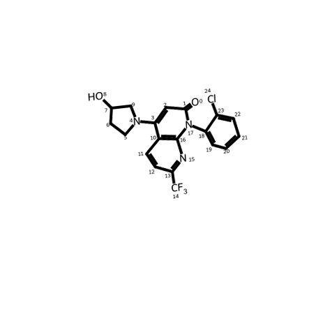 O=c1cc(N2CCC(O)C2)c2ccc(C(F)(F)F)nc2n1-c1ccccc1Cl